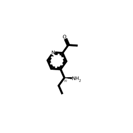 CC[C@H](N)c1ccnc(C(C)=O)c1